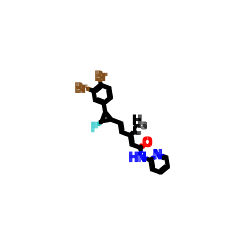 CC(/C=C/C1C(F)C1c1ccc(Br)c(Br)c1)=C\C(=O)Nc1ccccn1